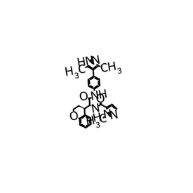 Cc1n[nH]c(C)c1-c1ccc(NC(=O)[C@H](NC(=O)c2ccnn2C)[C@@H]2CCOc3ccccc32)cc1